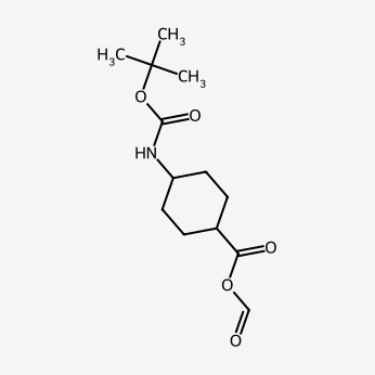 CC(C)(C)OC(=O)NC1CCC(C(=O)OC=O)CC1